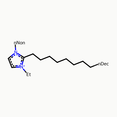 CCCCCCCCCCCCCCCCCCc1n(CCCCCCCCC)cc[n+]1CC